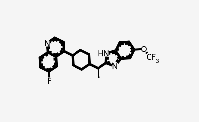 C[C@H](c1nc2cc(OC(F)(F)F)ccc2[nH]1)C1CCC(c2ccnc3ccc(F)cc23)CC1